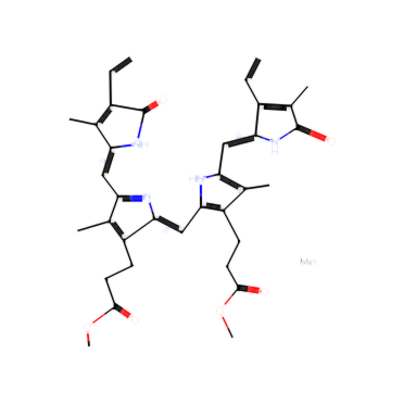 C=CC1=C(C)/C(=C/C2=NC(=C\c3[nH]c(/C=C4\NC(=O)C(C)=C4C=C)c(C)c3CCC(=O)OC)/C(CCC(=O)OC)=C2C)NC1=O.[Mn]